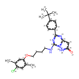 Cc1cc(OCCCCNc2nc(-c3ccc(C(C)(C)C)cc3)nc3cc(=O)[nH]n23)c(C)cc1Cl